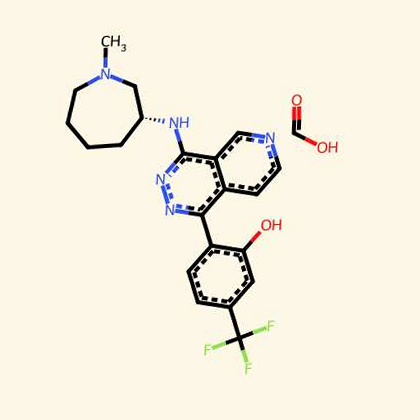 CN1CCCC[C@@H](Nc2nnc(-c3ccc(C(F)(F)F)cc3O)c3ccncc23)C1.O=CO